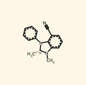 C[C@H]1N(C)c2cccc(C#N)c2N1c1ccccc1